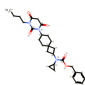 CCCCN1C(=O)CC(=O)N(C2CCC3(CC2)CC(N(C(=O)OCc2ccccc2)C2CC2)C3)C1=O